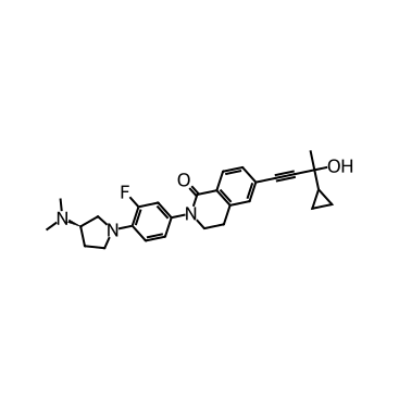 CN(C)[C@@H]1CCN(c2ccc(N3CCc4cc(C#CC(C)(O)C5CC5)ccc4C3=O)cc2F)C1